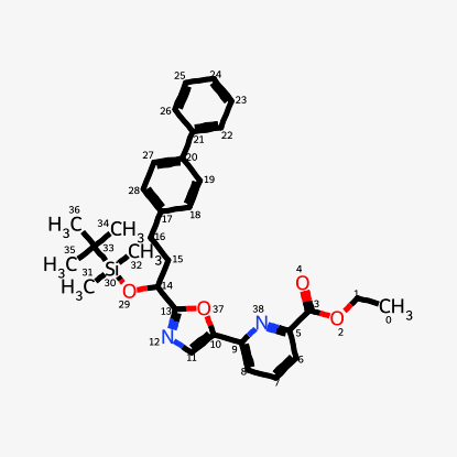 CCOC(=O)c1cccc(-c2cnc(C(CCc3ccc(-c4ccccc4)cc3)O[Si](C)(C)C(C)(C)C)o2)n1